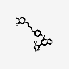 CCn1cnnc1-c1cc(Oc2ccc(OCCCN3CCN(C)C(=O)C3)cc2)n2cncc2c1